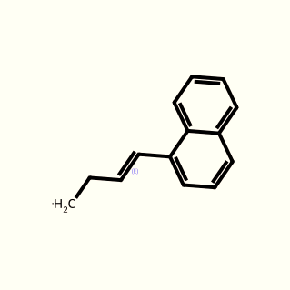 [CH2]C/C=C/c1cccc2ccccc12